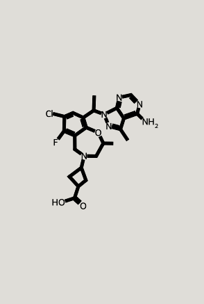 Cc1nn(C(C)c2cc(Cl)c(F)c3c2OC(C)CN(C2CC(C(=O)O)C2)C3)c2ncnc(N)c12